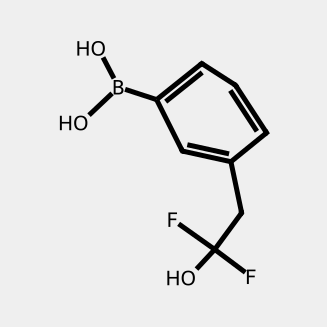 OB(O)c1cccc(CC(O)(F)F)c1